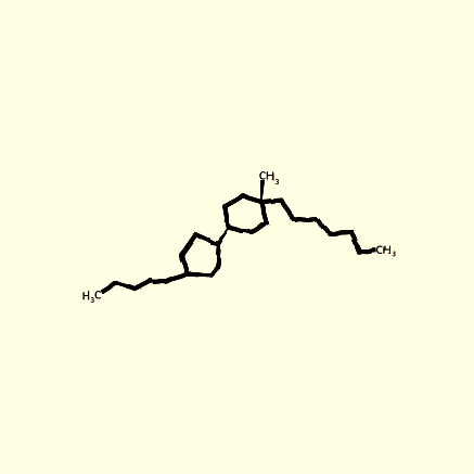 CCCCCCC[C@]1(C)CC[C@@H](C2CCC(CCCCC)CC2)CC1